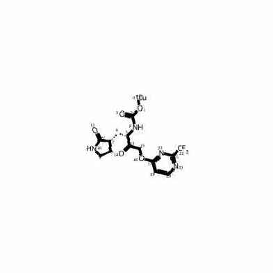 CC(C)(C)OC(=O)N[C@@H](C[C@@H]1CCNC1=O)C(=O)COc1ccnc(C(F)(F)F)n1